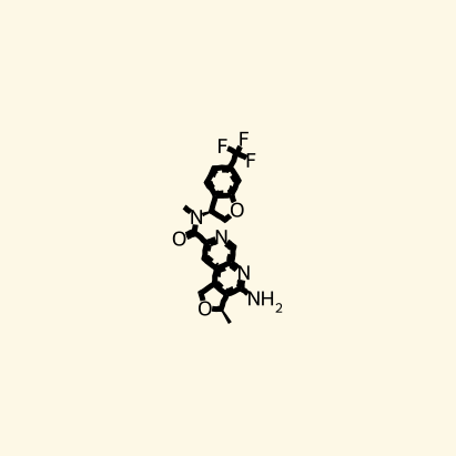 C[C@H]1OCc2c1c(N)nc1cnc(C(=O)N(C)[C@@H]3COc4cc(C(F)(F)F)ccc43)cc21